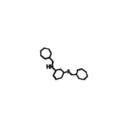 C1CCCC(CNC2CCCC(SCC3CCCCCC3)C2)CC1